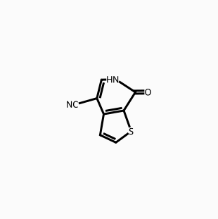 N#Cc1c[nH]c(=O)c2sccc12